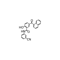 N#Cc1cccc(NC(=O)c2cc(C(=O)c3cccc4ccccc34)ccc2O)c1